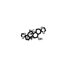 C[C@]12CCC3(CC1[C@@H](O)C[C@@H]1[C@@H]2CC[C@@]2(C)[C@H]1CCC21OCCO1)OCCO3